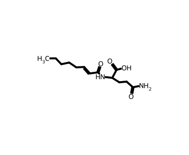 CCCCC/C=C/C(=O)NC(CCC(N)=O)C(=O)O